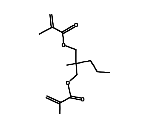 C=C(C)C(=O)OCC(C)(CCC)COC(=O)C(=C)C